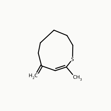 C=C1/C=C(/C)SCCCCC1